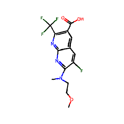 COCCN(C)c1nc2nc(C(F)(F)F)c(C(=O)O)cc2cc1F